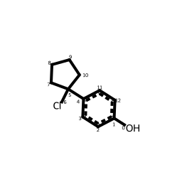 Oc1ccc(C2(Cl)CCCC2)cc1